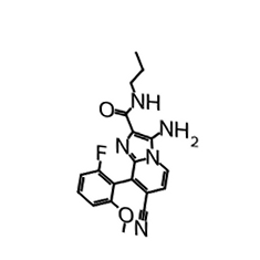 CCCNC(=O)c1nc2c(-c3c(F)cccc3OC)c(C#N)ccn2c1N